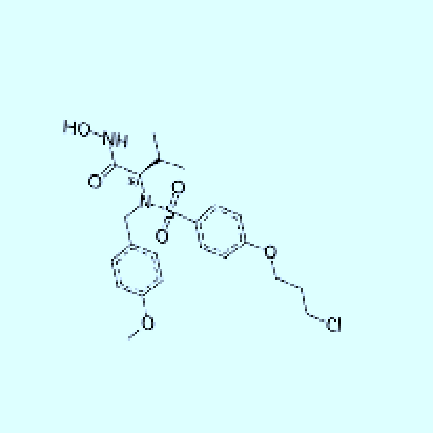 COc1ccc(CN([C@@H](C(=O)NO)C(C)C)S(=O)(=O)c2ccc(OCCCCl)cc2)cc1